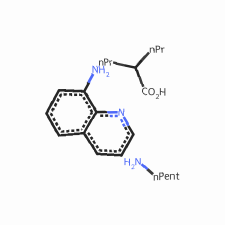 CCCC(CCC)C(=O)O.CCCCCN.Nc1cccc2cccnc12